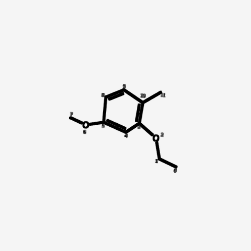 CCOc1cc(OC)ccc1C